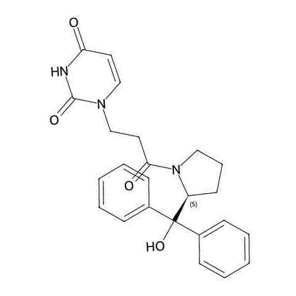 O=C(CCn1ccc(=O)[nH]c1=O)N1CCC[C@H]1C(O)(c1ccccc1)c1ccccc1